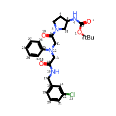 CC(C)(C)OC(=O)NC1CCN(C(=O)CN(CC(=O)NCc2cccc(Cl)c2)c2ccccc2)C1